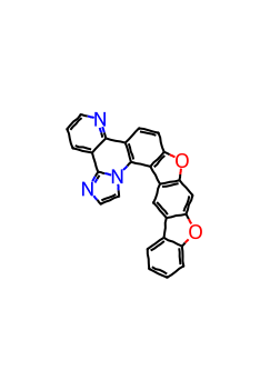 c1ccc2c(c1)oc1cc3oc4ccc5c6ncccc6c6nccn6c5c4c3cc12